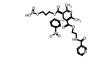 CC1=NC(C)=C(C(=O)OCCNC(=O)c2cccnc2)[C@H](c2cccc([N+](=O)[O-])c2)C1=C([O-])OCCCO[N+](=O)O